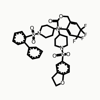 O=C1OCC2=CC(F)(F)C(F)(F)C=C2[N+]1(C1CCN(S(=O)(=O)c2ccc3c(c2)CCO3)CC1)C1CCN(S(=O)(=O)c2ccccc2-c2ccccc2)CC1